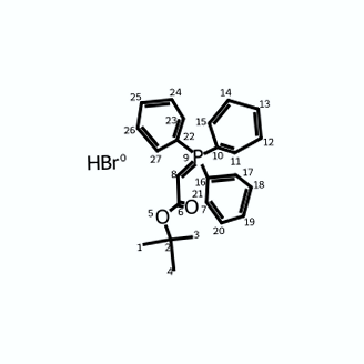 Br.CC(C)(C)OC(=O)C=P(c1ccccc1)(c1ccccc1)c1ccccc1